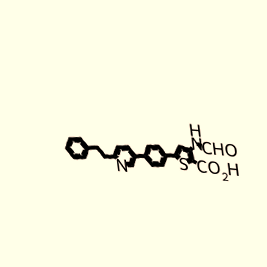 O=CNc1cc(-c2ccc(-c3ccc(CCc4ccccc4)nc3)cc2)sc1C(=O)O